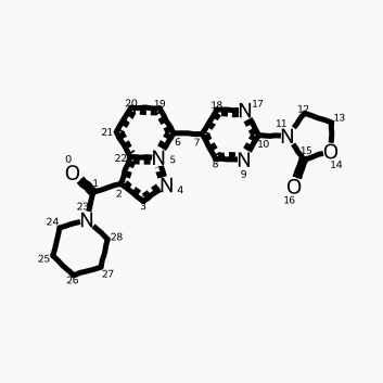 O=C(c1cnn2c(-c3cnc(N4CCOC4=O)nc3)cccc12)N1CCCCC1